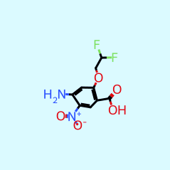 Nc1cc(OCC(F)F)c(C(=O)O)cc1[N+](=O)[O-]